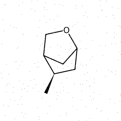 C[C@@H]1CC2CC1CO2